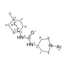 CC(=O)N1CCC(NC(=O)NC23CCC(C)(CC2)CC3)CC1